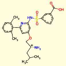 Cc1cccc(C)c1-c1cc(OC[C@H](N)CC(C)C)cc(NS(=O)(=O)c2cccc(C(=O)O)c2)n1